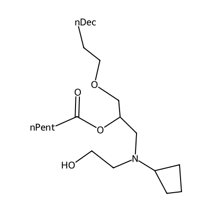 CCCCCCCCCCCCOCC(CN(CCO)C1CCC1)OC(=O)CCCCC